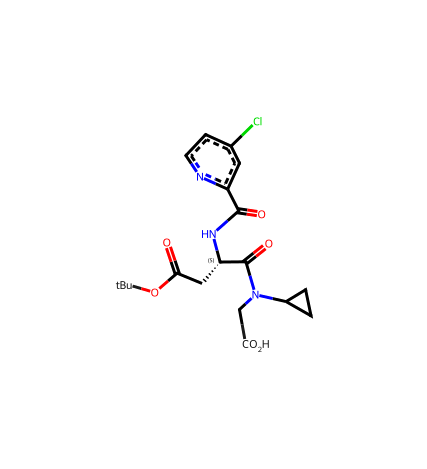 CC(C)(C)OC(=O)C[C@H](NC(=O)c1cc(Cl)ccn1)C(=O)N(CC(=O)O)C1CC1